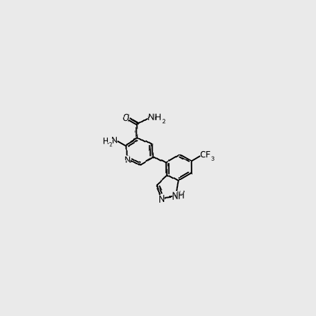 NC(=O)c1cc(-c2cc(C(F)(F)F)cc3[nH]ncc23)cnc1N